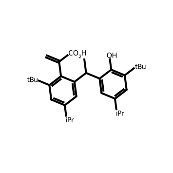 C=C(C(=O)O)c1c(C(C)c2cc(C(C)C)cc(C(C)(C)C)c2O)cc(C(C)C)cc1C(C)(C)C